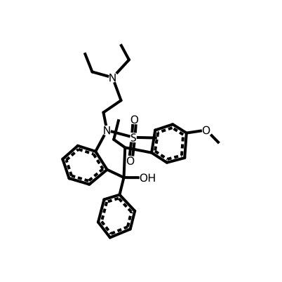 CCC(c1ccc(OC)cc1)C(O)(c1ccccc1)c1ccccc1N(CCN(CC)CC)S(C)(=O)=O